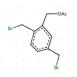 CC(=O)OCc1cc(CBr)ccc1CBr